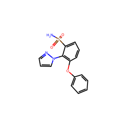 NS(=O)(=O)c1cccc(Oc2ccccc2)c1-n1cccn1